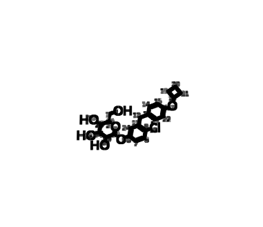 OC[C@H]1O[C@@H](Oc2ccc(Cl)c(Cc3ccc(OC4CCC4)cc3)c2)[C@H](O)[C@@H](O)[C@@H]1O